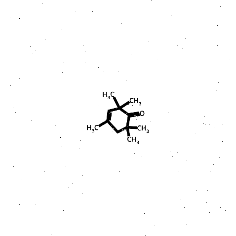 CC1=CC(C)(C)C(=O)C(C)(C)C1